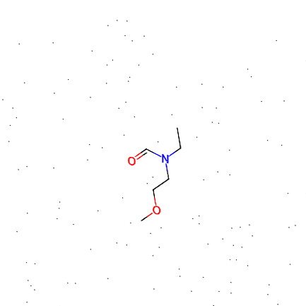 CCN(C=O)CCOC